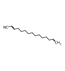 C=CCCCCCCCCCCC=CC#N